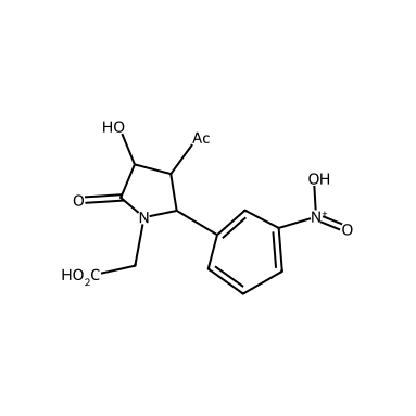 CC(=O)C1C(O)C(=O)N(CC(=O)O)C1c1cccc([N+](=O)O)c1